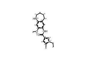 CCn1nc(C(=O)Nc2cc3c(cc2OC)NCCCC3)cc1C